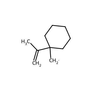 [CH2]C1(C(=C)C)CCCCC1